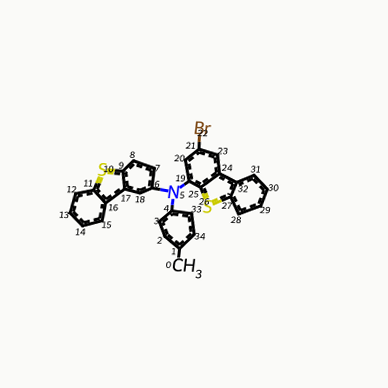 Cc1ccc(N(c2ccc3sc4ccccc4c3c2)c2cc(Br)cc3c2sc2ccccc23)cc1